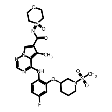 Cc1c(C(=O)N=S2(=O)CCOCC2)cn2ncnc(Nc3ccc(F)cc3O[C@@H]3CCCN(S(C)(=O)=O)C3)c12